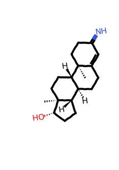 C[C@]12CC[C@H]3[C@@H](CCC4=CC(=N)CC[C@@]43C)[C@@H]1CC[C@@H]2O